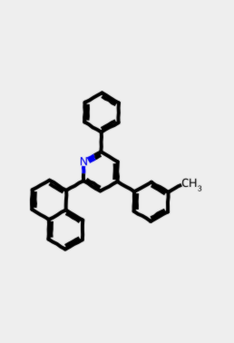 Cc1cccc(-c2cc(-c3ccccc3)nc(-c3cccc4ccccc34)c2)c1